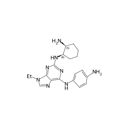 CCn1cnc2c(Nc3ccc(N)cc3)nc(N[C@@H]3CCCC[C@@H]3N)nc21